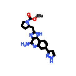 CC(C)(C)OC(=O)N1CCCC1Cc1nc2c(N)nc3cc(-c4cc[nH]n4)ccc3c2[nH]1